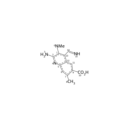 CNc1c(N)nc2cc(C)c(C(=O)O)cc2c1C=N